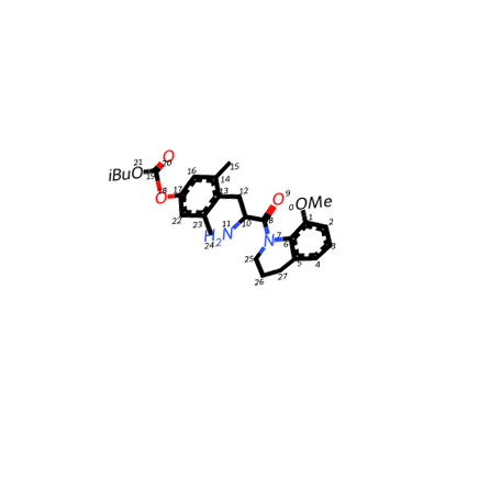 COc1cccc2c1N(C(=O)C(N)Cc1c(C)cc(OC(=O)OCC(C)C)cc1C)CCC2